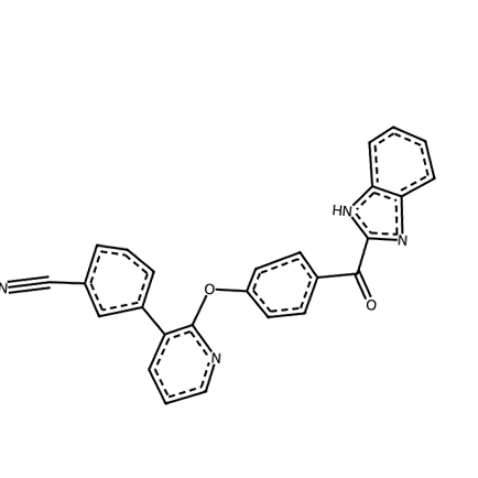 N#Cc1cccc(-c2cccnc2Oc2ccc(C(=O)c3nc4ccccc4[nH]3)cc2)c1